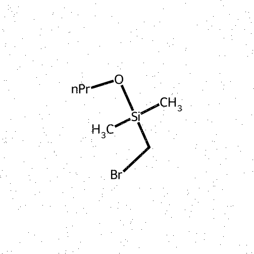 CCCO[Si](C)(C)CBr